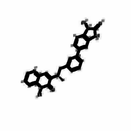 CCn1c(=O)c([C@@H](C)Cc2cccc(-c3cnc4c(c3)[nH]c(=O)n4C(C)C)c2)cc2ncccc21